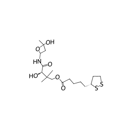 CC1(O)CC(NC(=O)[C@H](O)C(C)(C)COC(=O)CCCC[C@@H]2CCSS2)O1